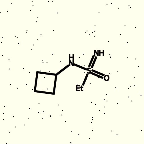 CCS(=N)(=O)NC1CCC1